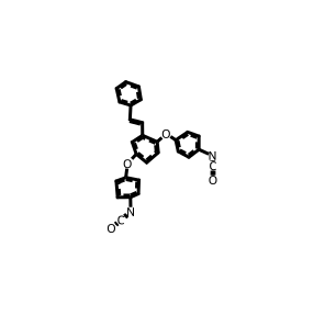 O=C=Nc1ccc(Oc2ccc(Oc3ccc(N=C=O)cc3)c(/C=C/c3ccccc3)c2)cc1